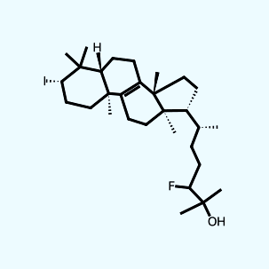 C[C@H](CCC(F)C(C)(C)O)[C@H]1CC[C@@]2(C)C3=C(CC[C@]12C)[C@@]1(C)CC[C@H](I)C(C)(C)[C@@H]1CC3